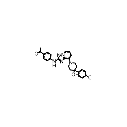 CC(=O)c1ccc(Nc2nc3c(N4CCC(O)(c5ccc(Cl)cc5)CC4)cccn3n2)cc1